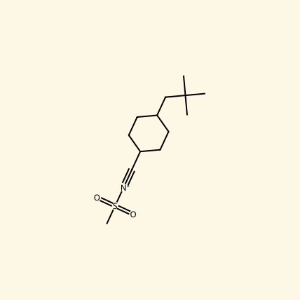 CC(C)(C)CC1CCC(C#[N+]S(C)(=O)=O)CC1